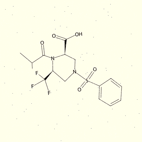 CC(C)C(=O)N1[C@@H](C(=O)O)CN(S(=O)(=O)c2ccccc2)C[C@H]1C(F)(F)F